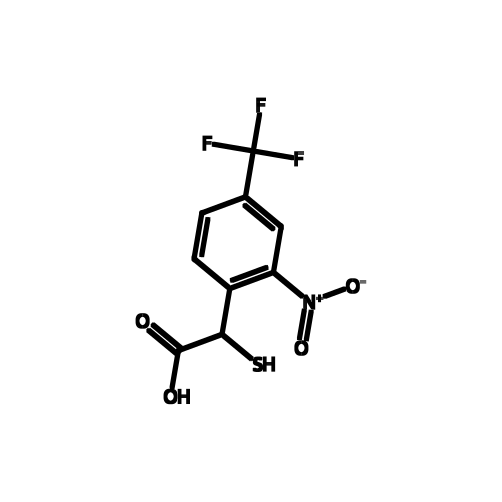 O=C(O)C(S)c1ccc(C(F)(F)F)cc1[N+](=O)[O-]